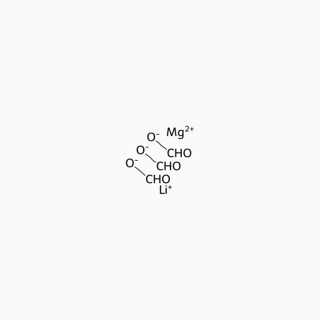 O=C[O-].O=C[O-].O=C[O-].[Li+].[Mg+2]